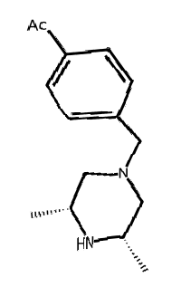 CC(=O)c1ccc(CN2C[C@@H](C)N[C@@H](C)C2)cc1